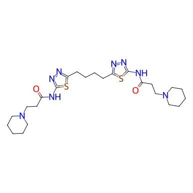 O=C(CCN1CCCCC1)Nc1nnc(CCCCc2nnc(NC(=O)CCN3CCCCC3)s2)s1